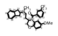 COc1ccc2c(c1)N(C(=O)c1cccc(C(F)(F)F)c1)C(CCN(C)C1Cc3ccccc3C1)CO2